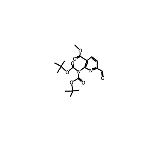 COC(=O)c1ccc(C=O)nc1N(C(=O)OC(C)(C)C)C(=O)OC(C)(C)C